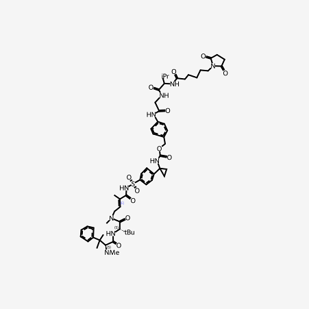 CN[C@H](C(=O)N[C@H](C(=O)N(C)C/C=C(\C)C(=O)NS(=O)(=O)c1ccc(C2(NC(=O)OCc3ccc(NC(=O)CNC(=O)C(NC(=O)CCCCCN4C(=O)CCC4=O)C(C)C)cc3)CC2)cc1)C(C)(C)C)C(C)(C)c1ccccc1